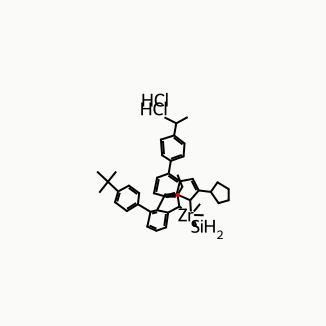 CCC1=Cc2c(-c3ccc(C(C)(C)C)cc3)cccc2[CH]1[Zr]([CH3])([CH3])(=[SiH2])[CH]1C(C2CCCC2)=Cc2c(-c3ccc(C(C)C)cc3)cccc21.Cl.Cl